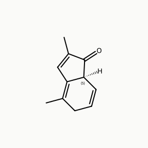 CC1=CC2=C(C)CC=C[C@@H]2C1=O